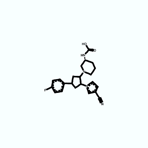 N#Cc1ccn(C2CC(c3ccc(F)cc3)CC2N2CCC[C@@H](NC(=O)O)C2)c1